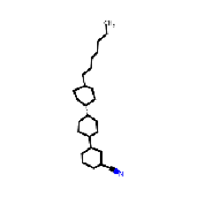 CCCCCCC[C@H]1CC[C@H](C2CCC(C3CCCC(C#N)C3)CC2)CC1